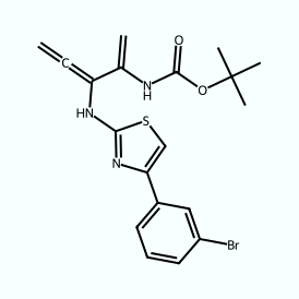 C=C=C(Nc1nc(-c2cccc(Br)c2)cs1)C(=C)NC(=O)OC(C)(C)C